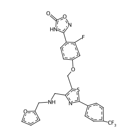 O=c1[nH]c(-c2ccc(OCc3sc(-c4ccc(C(F)(F)F)cc4)nc3CNCc3ccco3)cc2F)no1